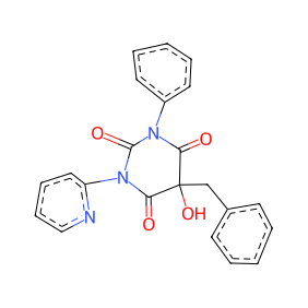 O=C1N(c2ccccc2)C(=O)C(O)(Cc2ccccc2)C(=O)N1c1ccccn1